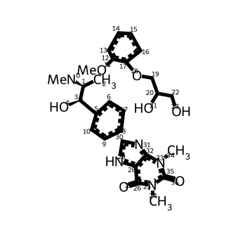 CN[C@@H](C)[C@H](O)c1ccccc1.COc1ccccc1OCC(O)CO.Cn1c(=O)c2[nH]cnc2n(C)c1=O